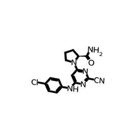 N#Cc1nc(Nc2ccc(Cl)cc2)cc(N2CCC[C@H]2C(N)=O)n1